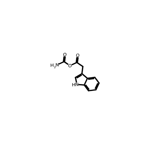 NC(=O)OC(=O)Cc1c[nH]c2ccccc12